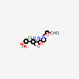 Cc1cc(-c2cccc(S(C)(=O)=O)c2)c(Cl)cc1C1=C(N)C2(CCCN(Cc3ccc(C=O)o3)C2)OC1=O